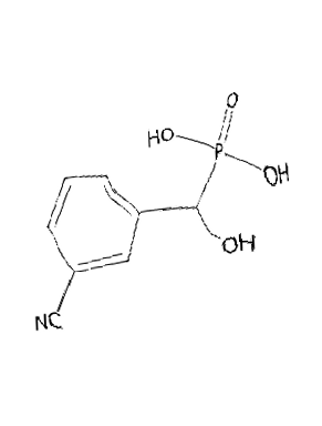 N#Cc1cccc(C(O)P(=O)(O)O)c1